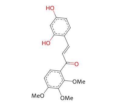 COc1ccc(C(=O)/C=C/c2ccc(O)cc2O)c(OC)c1OC